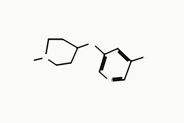 CN1CCC(Oc2cncc(Br)c2)CC1